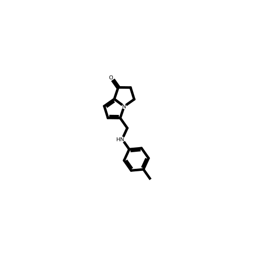 Cc1ccc(NCc2ccc3n2CCC3=O)cc1